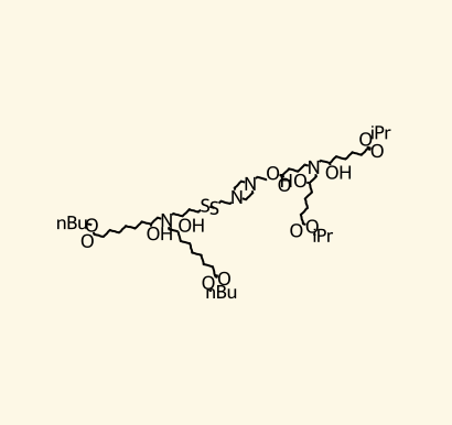 CCCCOC(=O)CCCCCCC(O)CN(CCCCSSCCN1CCN(CCOC(=O)CCCN(CC(O)CCCCC(=O)OC(C)C)CC(O)CCCCC(=O)OC(C)C)CC1)CC(O)CCCCCCC(=O)OCCCC